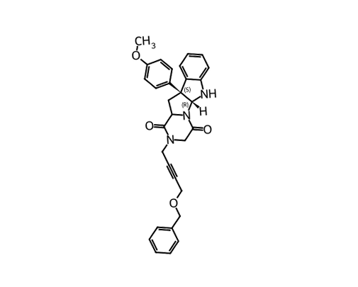 COc1ccc([C@]23CC4C(=O)N(CC#CCOCc5ccccc5)CC(=O)N4[C@H]2Nc2ccccc23)cc1